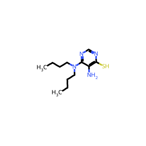 CCCCN(CCCC)c1ncnc(S)c1N